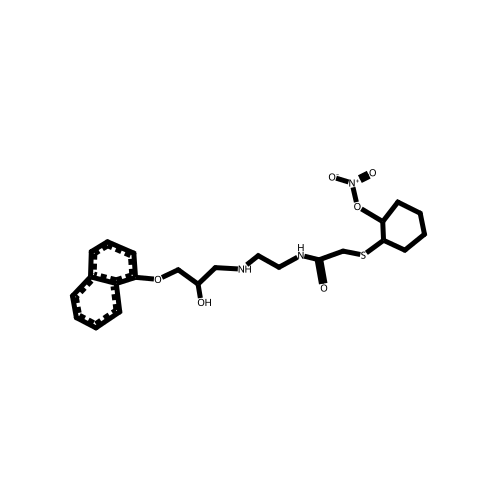 O=C(CSC1CCCCC1O[N+](=O)[O-])NCCNCC(O)COc1cccc2ccccc12